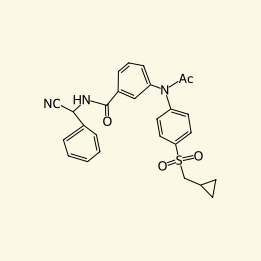 CC(=O)N(c1ccc(S(=O)(=O)CC2CC2)cc1)c1cccc(C(=O)NC(C#N)c2ccccc2)c1